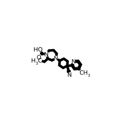 CCC1CN(C2CCC(C#N)(c3cc(C)ccn3)CC2)CCCN1C(=O)O